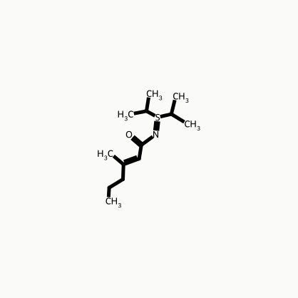 CCC/C(C)=C/C(=O)N=S(C(C)C)C(C)C